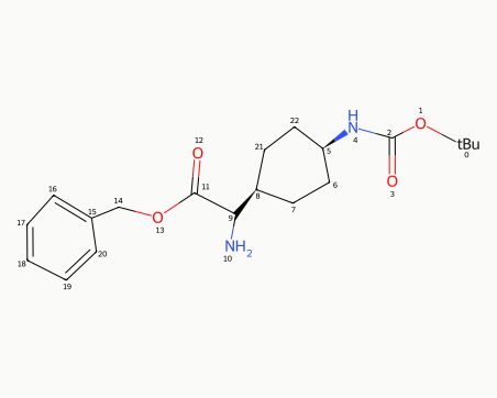 CC(C)(C)OC(=O)N[C@H]1CC[C@@H](C(N)C(=O)OCc2ccccc2)CC1